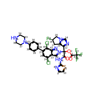 O=C(OC(C(=O)Nc1nccs1)(c1ncn2c1C[C@@H](F)C2)n1cc2c(Cl)cc(-c3ccc(N4CCNCC4)cc3)c(Cl)c2n1)C(F)(F)F